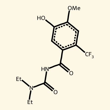 CCN(CC)C(=O)NC(=O)c1cc(O)c(OC)cc1C(F)(F)F